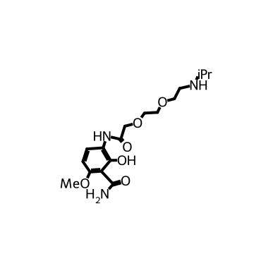 COc1ccc(NC(=O)COCCOCCNC(C)C)c(O)c1C(N)=O